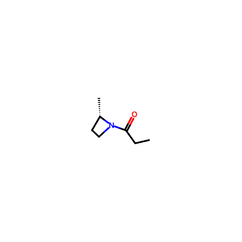 CCC(=O)N1CC[C@@H]1C